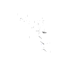 CC(=N)/C(C)=C/C=C(\C)[C@]1(C#N)O[C@H](CO[Si](C)(C)C(C)(C)C)[C@H]2OC(C)(C)O[C@H]21